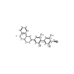 C[C@@H](CC1CCC(c2cc(F)c(-c3cc(F)c(C#N)c(F)c3)c(F)c2)CC1)c1ccccc1